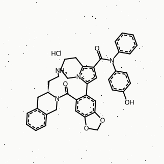 Cl.NCC[C@@H]1Cc2ccccc2CN1C(=O)c1cc2c(cc1-c1cc(C(=O)N(c3ccccc3)c3ccc(O)cc3)c3n1CCCC3)OCO2